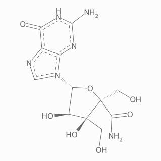 NC(=O)[C@]1(CO)O[C@@H](n2cnc3c(=O)[nH]c(N)nc32)[C@H](O)[C@@]1(O)CO